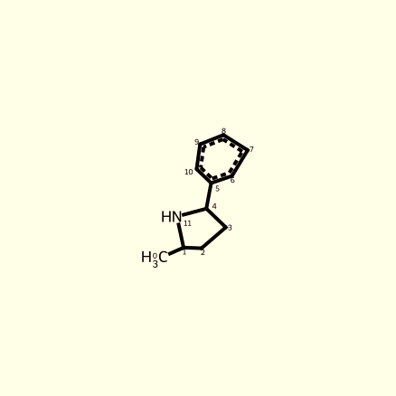 CC1CCC(c2ccccc2)N1